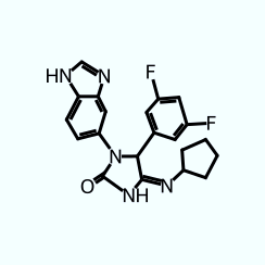 O=C1N/C(=N/C2CCCC2)C(c2cc(F)cc(F)c2)N1c1ccc2[nH]cnc2c1